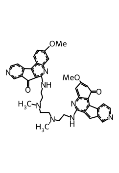 COC1=CC(=O)c2c3c(c(NCCN(C)CCN(C)CCNc4nc5cc(OC)ccc5c5c4C(=O)c4cnccc4-5)nc2=C1)=Cc1cnccc1-3